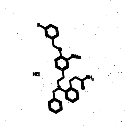 COc1cc(CCN(Cc2ccccc2)c2ccccc2CCC(N)=O)ccc1OCc1cccc(F)c1.Cl